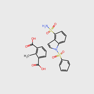 Cc1c(C(=O)O)cccc1C(=O)O.NS(=O)(=O)c1cccc2c1ccn2S(=O)(=O)c1ccccc1